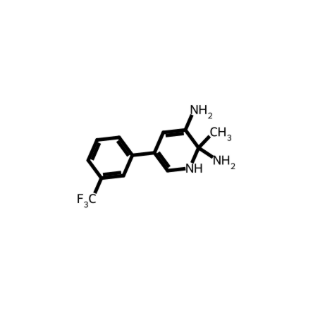 CC1(N)NC=C(c2cccc(C(F)(F)F)c2)C=C1N